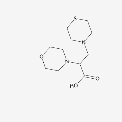 O=C(O)C(CN1CCSCC1)N1CCOCC1